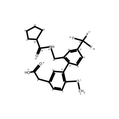 COc1ccc(CC(=O)O)cc1-c1ccc(C(F)(F)F)cc1CNC(=O)C1CCCC1